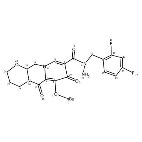 CCCCOc1c2n(cc(C(=O)N(N)Cc3ccc(F)cc3F)c1=O)CC1OCCCN1C2=O